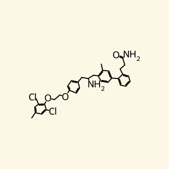 Cc1cc(Cl)c(OCCOc2ccc(CC(N)Cc3ccc(-c4ccccc4CCC(N)=O)cc3C)cc2)c(Cl)c1